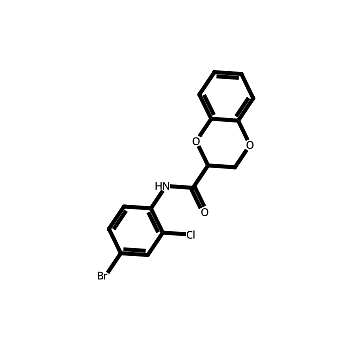 O=C(Nc1ccc(Br)cc1Cl)C1COc2ccccc2O1